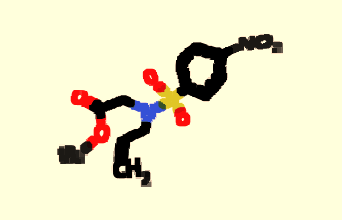 C=CCN(CC(=O)OC(C)(C)C)S(=O)(=O)c1ccc([N+](=O)[O-])cc1